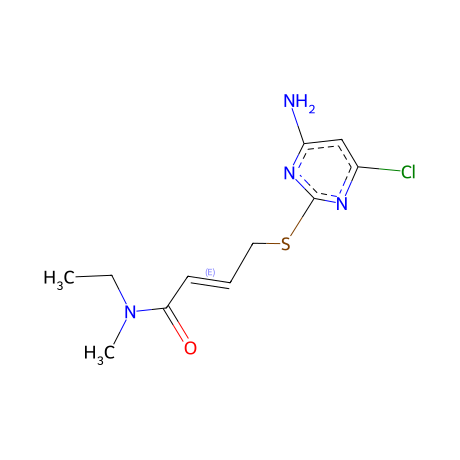 CCN(C)C(=O)/C=C/CSc1nc(N)cc(Cl)n1